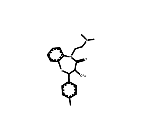 CC(=O)OC1C(=O)N(CCN(C)C)c2ccccc2SC1c1ccc(C)cc1